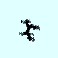 C=C(C)C(=O)OCCc1ccc(N(c2ccc(-c3ccc(N(c4ccc(C)cc4)c4ccc(CCOC(=O)C(=C)C)c(C)c4)cc3)cc2)c2ccc(CCOC(=O)C(=C)C)c(C)c2)cc1